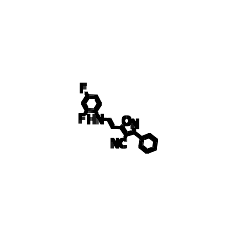 N#Cc1c(-c2ccccc2)noc1C=CNc1ccc(F)cc1F